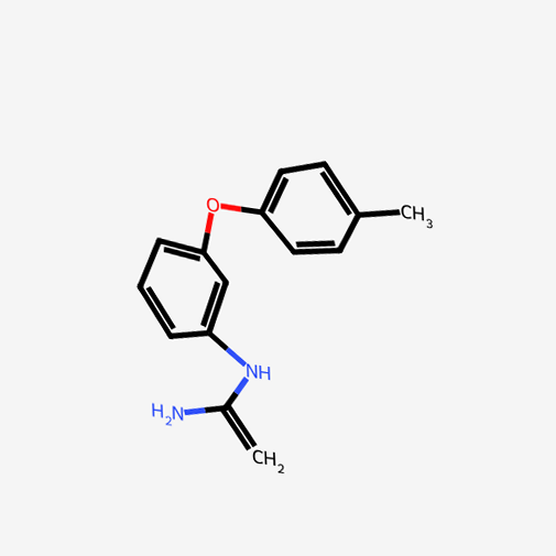 C=C(N)Nc1cccc(Oc2ccc(C)cc2)c1